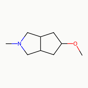 COC1CC2CN(C)CC2C1